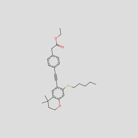 CCCCCSc1cc2c(cc1C#Cc1ccc(CC(=O)OCC)cc1)C(C)(C)CCO2